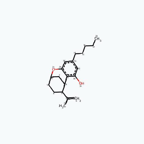 C=C(C)C1CCC2CC1c1c(O)cc(CCCCC)cc1O2